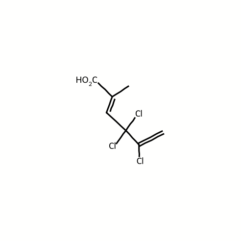 C=C(Cl)C(Cl)(Cl)/C=C(\C)C(=O)O